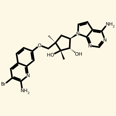 C[C@]1(COc2ccc3cc(Br)c(N)nc3c2)C[C@@H](n2ccc3c(N)ncnc32)[C@H](O)[C@]1(C)O